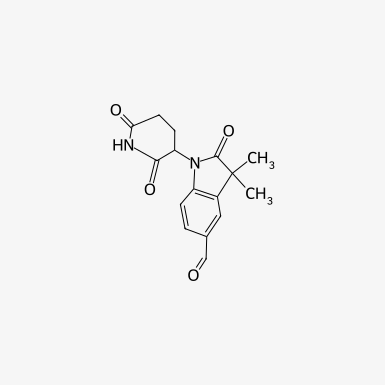 CC1(C)C(=O)N(C2CCC(=O)NC2=O)c2ccc(C=O)cc21